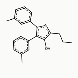 CCCc1nn(-c2cccc(C)c2)c(-c2cccc(C)c2)c1O